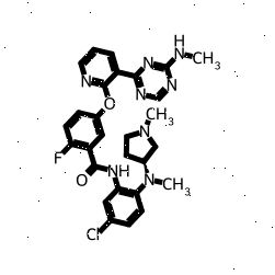 CNc1ncnc(-c2cccnc2Oc2ccc(F)c(C(=O)Nc3cc(Cl)ccc3N(C)[C@H]3CCN(C)C3)c2)n1